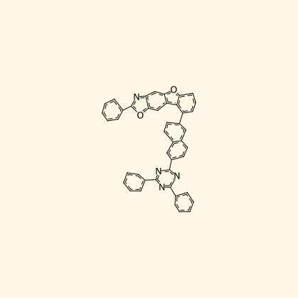 c1ccc(-c2nc(-c3ccccc3)nc(-c3ccc4cc(-c5cccc6oc7cc8nc(-c9ccccc9)oc8cc7c56)ccc4c3)n2)cc1